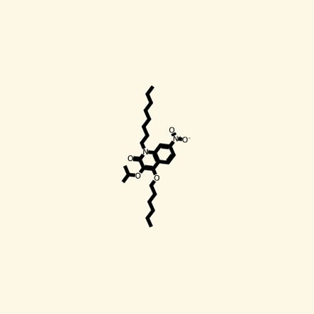 CCCCCCCCn1c(=O)c(OC(C)C)c(OCCCCCC)c2ccc([N+](=O)[O-])cc21